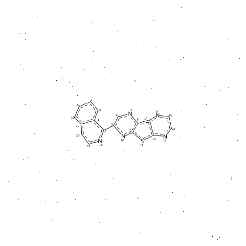 c1ccc2c(-c3cnc4c(n3)sc3nccnc34)nccc2c1